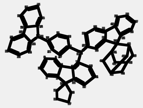 c1ccc2c(c1)-c1c(N(c3ccc(-n4c5ccccc5c5ccccc54)cc3)c3ccc4c(c3)C3(c5ccccc5-4)C4CC5CC(C4)CC3C5)cccc1C21CCCC1